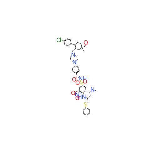 CN(C)CCC(CSc1ccccc1)Nc1ccc(S(=O)(=O)NC(=O)c2ccc(N3CCN(CC4=C(c5ccc(Cl)cc5)CCC(C)(C=O)C4)CC3)cc2)cc1[N+](=O)[O-]